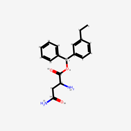 CCc1cccc(B(OC(=O)C(N)CC(N)=O)c2ccccc2)c1